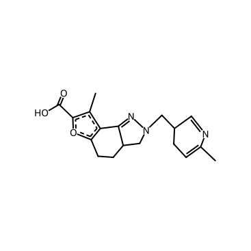 CC1=CCC(CN2CC3CCc4oc(C(=O)O)c(C)c4C3=N2)C=N1